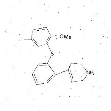 COc1ccc(C)cc1Sc1ccccc1C1=CCNCC1